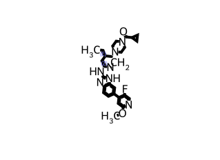 C=N/C(=C\C(=C/C)CN1CCN(C(=O)C2CC2)CC1)Nc1nc2ccc(-c3cc(OC)ncc3F)cc2[nH]1